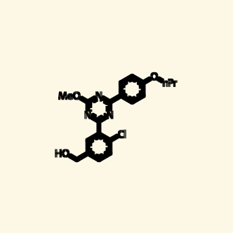 CCCOc1ccc(-c2nc(OC)nc(-c3cc(CO)ccc3Cl)n2)cc1